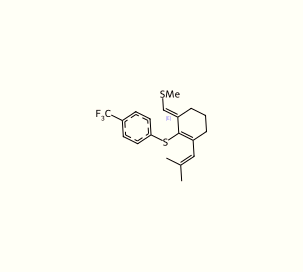 CS/C=C1\CCCC(C=C(C)C)=C1Sc1ccc(C(F)(F)F)cc1